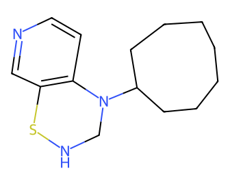 c1cc2c(cn1)SNCN2C1CCCCCCC1